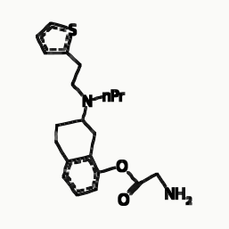 CCCN(CCc1cccs1)C1CCc2cccc(OC(=O)CN)c2C1